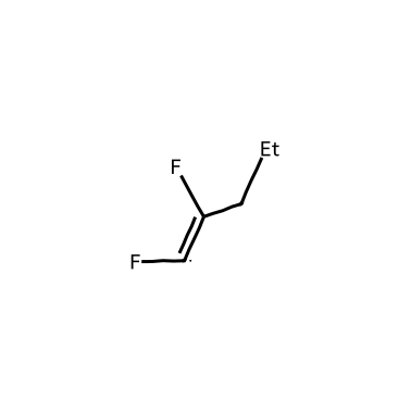 CCC/C(F)=[C]/F